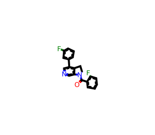 O=C(c1ccccc1F)N1CCc2c(-c3cccc(F)c3)cncc21